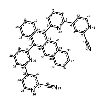 N#Cc1cc(-c2cccc(-c3c4ccccc4c(-c4cccc(-c5ccnc(C#N)c5)n4)c4cc5ccccc5cc34)n2)ccn1